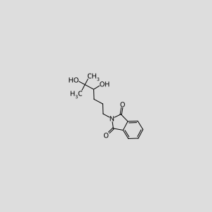 CC(C)(O)C(O)CCCN1C(=O)c2ccccc2C1=O